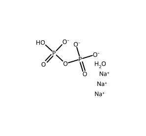 O.O=P([O-])([O-])OP(=O)([O-])O.[Na+].[Na+].[Na+]